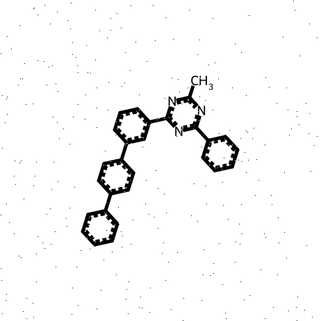 Cc1nc(-c2ccccc2)nc(-c2cccc(-c3ccc(-c4ccccc4)cc3)c2)n1